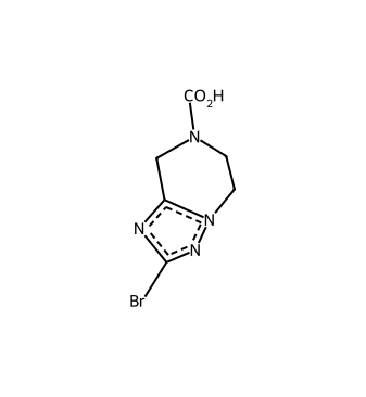 O=C(O)N1CCn2nc(Br)nc2C1